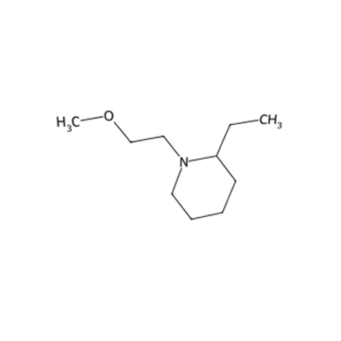 CCC1CCCCN1CCOC